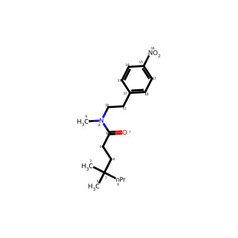 CCCC(C)(C)CCC(=O)N(C)CCc1ccc([N+](=O)[O-])cc1